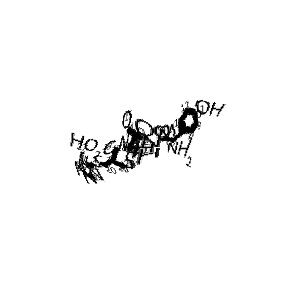 CO[C@@]1(NC(=O)[C@@H](N)c2ccc(O)cc2)C(=O)N2C(C(=O)O)=C(CSc3nnnn3C)CS[C@H]21